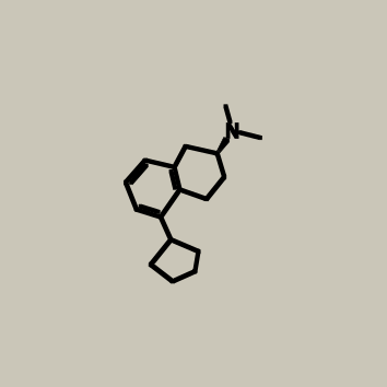 CN(C)[C@H]1CCc2c(cccc2C2CCCC2)C1